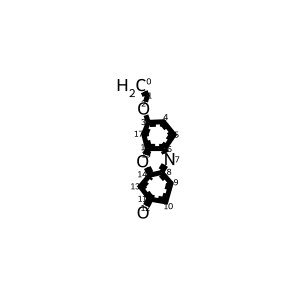 C=COc1ccc2nc3ccc(=O)cc-3oc2c1